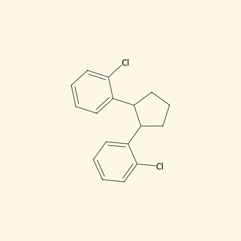 Clc1ccccc1C1CCCC1c1ccccc1Cl